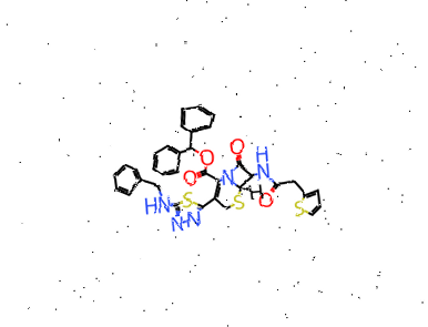 O=C(Cc1cccs1)NC1C(=O)N2C(C(=O)OC(c3ccccc3)c3ccccc3)=C(c3nnc(NCc4ccccc4)s3)CS[C@@H]12